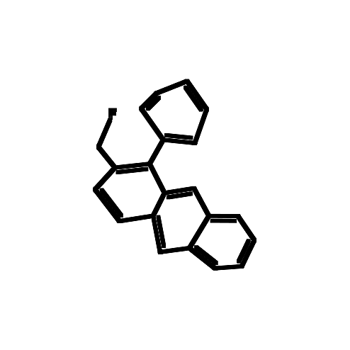 FCc1ccc2cc3ccccc3cc2c1-c1ccccc1